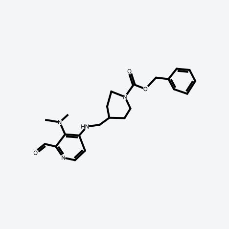 CN(C)c1c(NCC2CCN(C(=O)OCc3ccccc3)CC2)ccnc1C=O